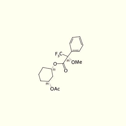 CO[C@@](C(=O)O[C@H]1CCC[C@@H](OC(C)=O)C1)(c1ccccc1)C(F)(F)F